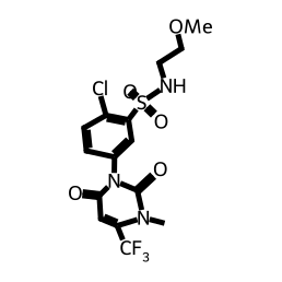 COCCNS(=O)(=O)c1cc(-n2c(=O)cc(C(F)(F)F)n(C)c2=O)ccc1Cl